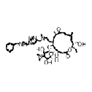 CC[C@H]1OC(=O)C[C@@H](O)[C@H](C)[C@@H](O[C@@H]2O[C@H](C)C(O)C(N(C)C)C2O)[C@@H](CCN(C)Cc2cn(CCNCc3ccccc3)nn2)C[C@@H](C)C(=O)/C=C/C(C)=C/[C@@H]1CO